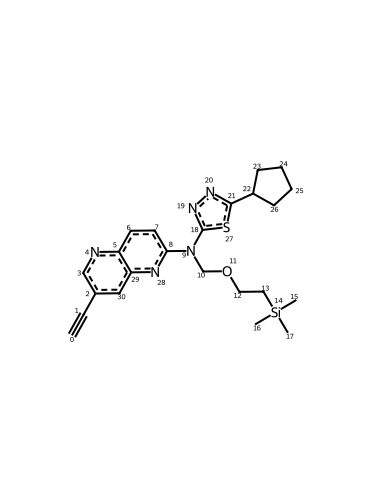 C#Cc1cnc2ccc(N(COCC[Si](C)(C)C)c3nnc(C4CCCC4)s3)nc2c1